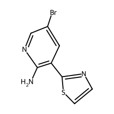 Nc1ncc(Br)cc1-c1nccs1